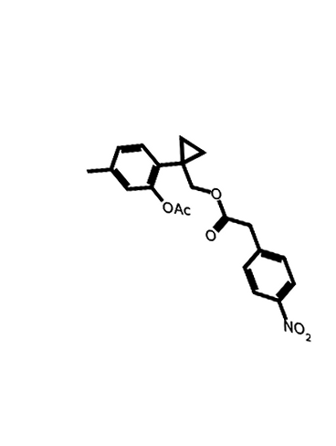 CC(=O)Oc1cc(C)ccc1C1(COC(=O)Cc2ccc([N+](=O)[O-])cc2)CC1